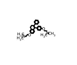 CN(C)CCOc1ccc(C2=C(c3ccccc3)CCc3cc(OCCN(C)C)ccc32)cc1